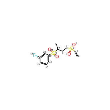 C=CS(=O)(=O)CCC(C)S(=O)(=O)c1cccc(F)c1